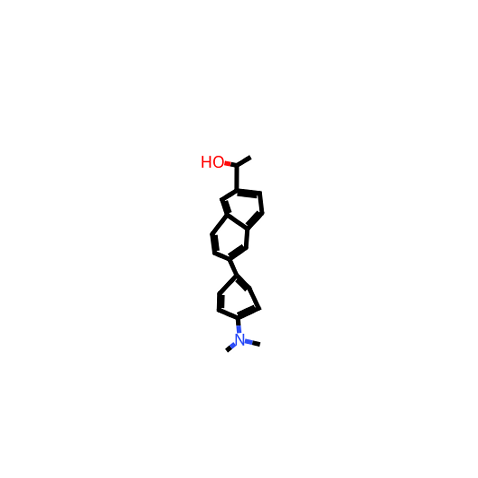 CC(O)c1ccc2cc(-c3ccc(N(C)C)cc3)ccc2c1